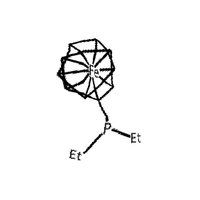 CCP(CC)[C]12[CH]3[CH]4[CH]5[CH]1[Fe]45321678[CH]2[CH]1[CH]6[CH]7[CH]28